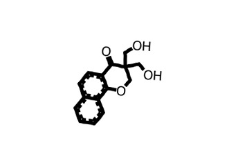 O=C1c2ccc3ccccc3c2OCC1(CO)CO